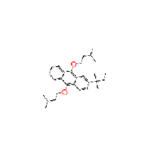 CCC(C)(C)c1ccc2c(OCCC(C)C)c3c(c(OCCC(C)C)c2c1)=CCCC=3